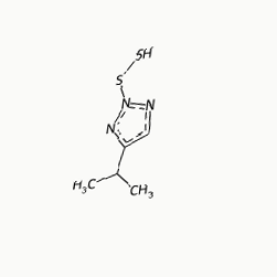 CC(C)c1cnn(SS)n1